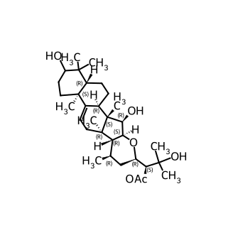 CC(=O)O[C@@H]([C@H]1C[C@@H](C)[C@H]2[C@H](O1)[C@H](O)[C@@]1(C)[C@@H]3CC[C@H]4C(C)(C)C(O)CC[C@]4(C)C3=CC[C@]21C)C(C)(C)O